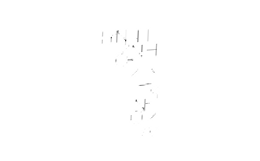 CC(=O)c1cc(Sc2ccc(C(=O)N[C@H]3NC4CCC3CC4)cc2)no1